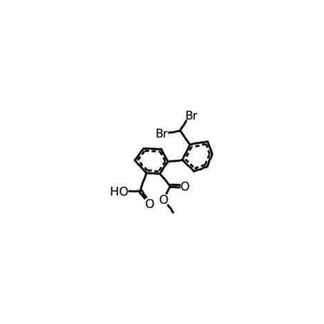 COC(=O)c1c(C(=O)O)cccc1-c1ccccc1C(Br)Br